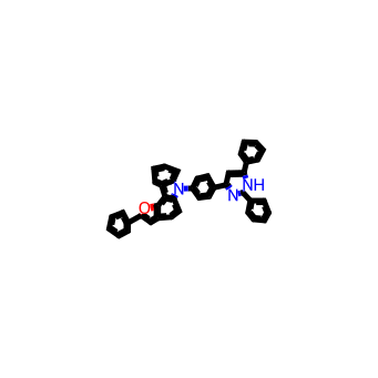 C1=C(c2ccccc2)NC(c2ccccc2)N=C1c1ccc(-n2c3ccccc3c3c4oc(-c5ccccc5)cc4ccc32)cc1